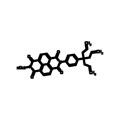 C=CCC(CC=C)(CC=C)c1ccc(N2C(=O)c3ccc4c5c(ccc(c35)C2=O)C(=O)N(CCCCCCCC)C4=O)cc1